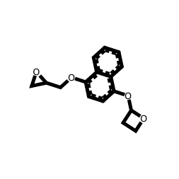 c1ccc2c(OC3CCO3)ccc(OCC3CO3)c2c1